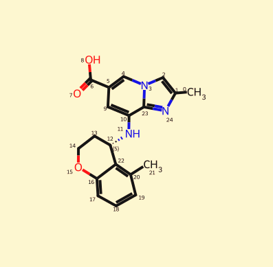 Cc1cn2cc(C(=O)O)cc(N[C@H]3CCOc4cccc(C)c43)c2n1